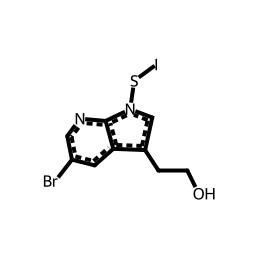 OCCc1cn(SI)c2ncc(Br)cc12